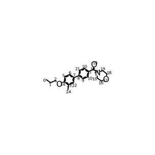 CCCOc1ccc(-c2ccc(C(=O)N3CCOCC3)cc2)cc1C